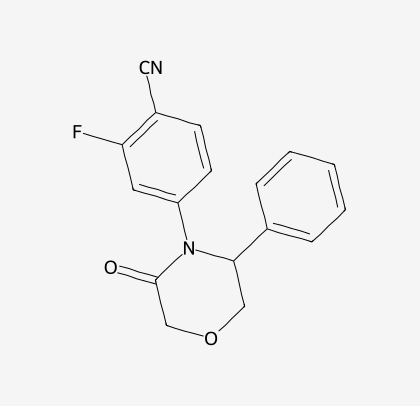 N#Cc1ccc(N2C(=O)COCC2c2ccccc2)cc1F